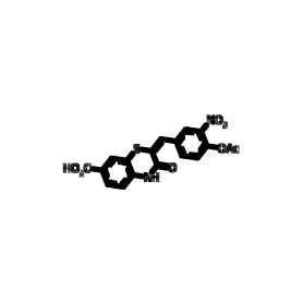 CC(=O)Oc1ccc(C=C2Sc3cc(C(=O)O)ccc3NC2=O)cc1[N+](=O)[O-]